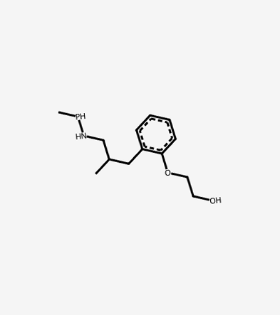 CPNCC(C)Cc1ccccc1OCCO